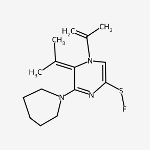 C=C(C)N1C=C(SF)N=C(N2CCCCC2)C1=C(C)C